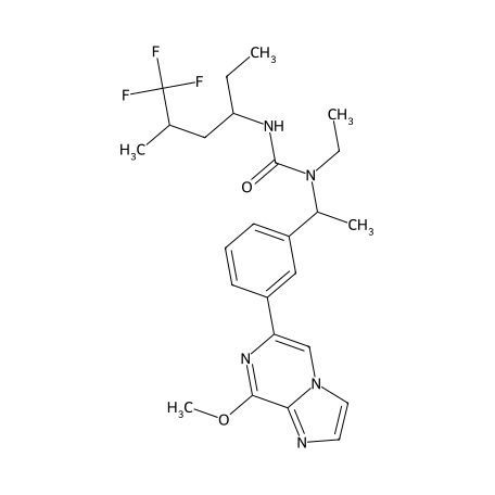 CCC(CC(C)C(F)(F)F)NC(=O)N(CC)C(C)c1cccc(-c2cn3ccnc3c(OC)n2)c1